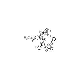 CCOC(=O)N1CCN(C(=O)[C@H](CC(=O)OC(C)(C)C)NC(=O)c2cc(OCC(=O)N3CCC[C@H]3C(=O)OCc3ccccc3)n(-c3cccc(F)c3)n2)CC1